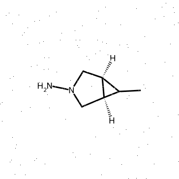 CC1[C@H]2CN(N)C[C@@H]12